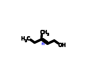 CC/C(C)=C/CO